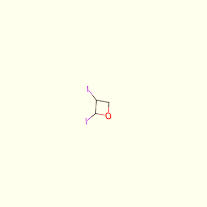 IC1COC1I